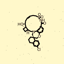 C[C@@]12CC[C@H]1CN1C[C@@]3(CCCc4cc(Cl)ccc43)COc3ccc(cc31)C(=O)NS(=O)(=O)CC/C=C\C[C@@H]2O